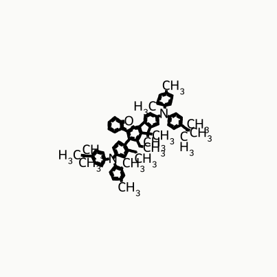 CCc1cc(N(c2ccc(C(C)(C)C)cc2)c2ccc(C)cc2C)ccc1-c1c(CC)c2c(c3oc4ccccc4c13)-c1ccc(N(c3ccc(C(C)(C)C)cc3)c3ccc(C)cc3C)cc1C2(C)C